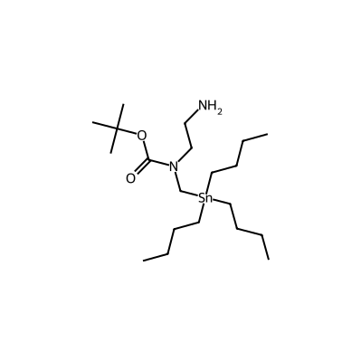 CCC[CH2][Sn]([CH2]CCC)([CH2]CCC)[CH2]N(CCN)C(=O)OC(C)(C)C